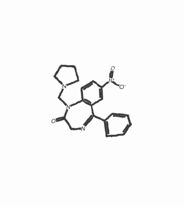 O=C1CN=C(c2ccccc2)c2cc([N+](=O)[O-])ccc2N1CN1CCCC1